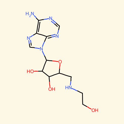 Nc1ncnc2c1ncn2C1OC(CNCCO)C(O)C1O